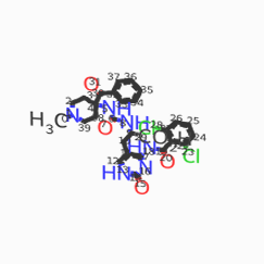 CN1CCC(NC(=O)NC(Cc2c[nH]c(=O)nc2NC(=O)c2c(Cl)cccc2Cl)C(=O)O)(C(=O)c2ccccc2)CC1